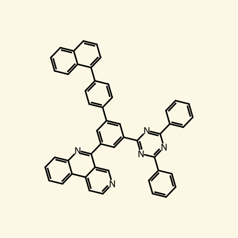 c1ccc(-c2nc(-c3ccccc3)nc(-c3cc(-c4ccc(-c5cccc6ccccc56)cc4)cc(-c4nc5ccccc5c5ccncc45)c3)n2)cc1